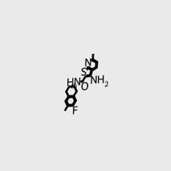 Cc1ccc2c(N)c(C(=O)N[C@H]3CCc4cc(C)c(F)cc4C3)sc2n1